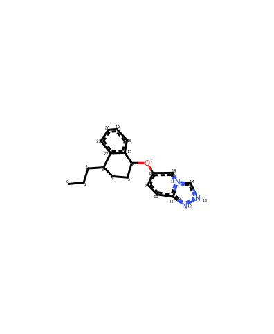 CCCC1CCC(Oc2ccc3nncn3c2)c2ccccc21